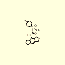 CN1CCC(S(N)(=O)=NC(=O)Nc2c3c(cc4c2CCC4)CCC3)CC1